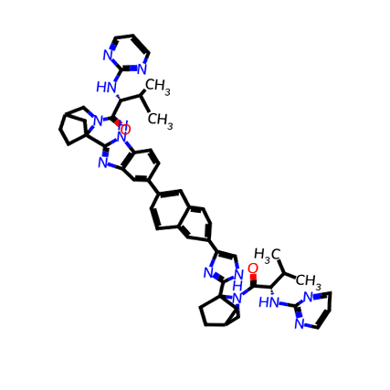 CC(C)[C@H](Nc1ncccn1)C(=O)N1CC2CCC1(c1nc(-c3ccc4cc(-c5ccc6[nH]c(C78CCC(CN7C(=O)[C@H](Nc7ncccn7)C(C)C)C8)nc6c5)ccc4c3)c[nH]1)C2